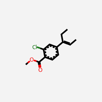 C/C=C(\CC)c1ccc(C(=O)OC)c(Cl)c1